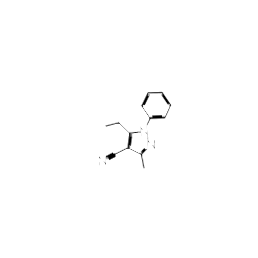 CCc1c(C#N)c(C)nn1-c1ccccc1